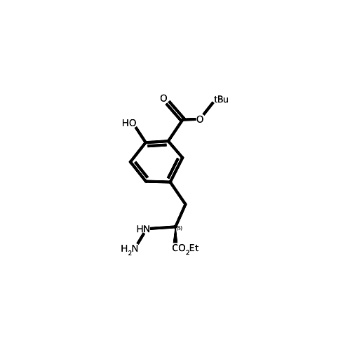 CCOC(=O)[C@H](Cc1ccc(O)c(C(=O)OC(C)(C)C)c1)NN